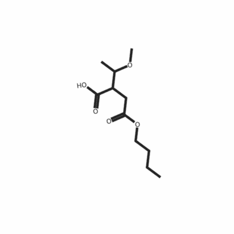 CCCCOC(=O)CC(C(=O)O)C(C)OC